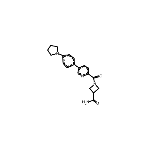 NC(=O)C1CN(C(=O)c2ccc(-c3ccc(N4CCCC4)cc3)nn2)C1